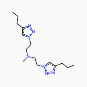 CCCc1cn(CCN(C)CCn2cc(CCC)nn2)nn1